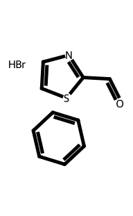 Br.O=Cc1nccs1.c1ccccc1